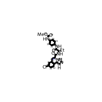 CC[C@H](NC(=O)/C=C/c1cc(Cl)ccc1-c1nnn[nH]1)C(=O)Nc1ccc(NC(=O)OC)cc1